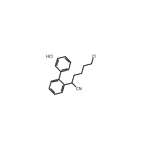 Cl.N#CC(CCCCCl)c1ccccc1-c1ccccc1